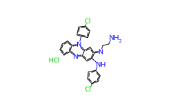 Cl.NCCN=c1cc2n(-c3ccc(Cl)cc3)c3ccccc3nc-2cc1Nc1ccc(Cl)cc1